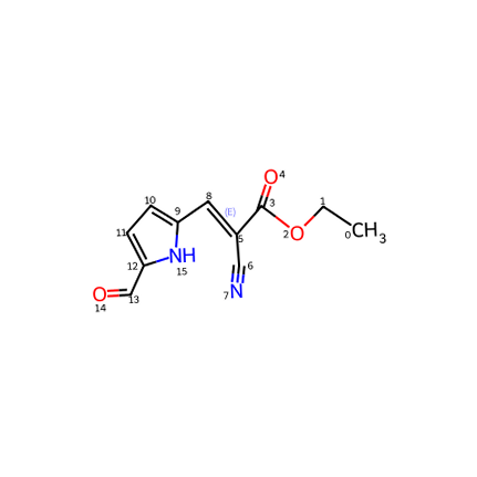 CCOC(=O)/C(C#N)=C/c1ccc(C=O)[nH]1